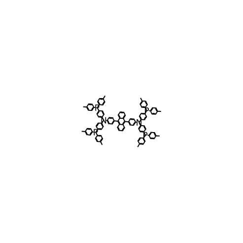 Cc1ccc(P(c2ccc(C)cc2)c2ccc(N(c3ccc(-c4c5ccccc5c(-c5ccc(N(c6ccc(P(c7ccc(C)cc7)c7ccc(C)cc7)cc6)c6ccc(P(c7ccc(C)cc7)c7ccc(C)cc7)cc6)cc5)c5ccccc45)cc3)c3ccc(P(c4ccc(C)cc4)c4ccc(C)cc4)cc3)cc2)cc1